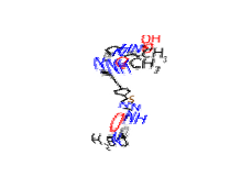 BN1CCC[C@H]1C(=O)Nc1cn2cc(-c3ccc(-c4cnc([C@@H]5CCCN5C(=O)[C@@H](NC(=O)O)C(C)C)[nH]4)cc3)sc2n1